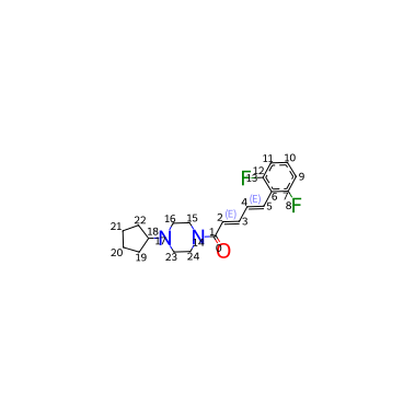 O=C(/C=C/C=C/c1c(F)cccc1F)N1CCN(C2CCCC2)CC1